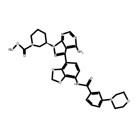 CC(C)(C)OC(=O)N1CCC[C@@H](n2nc(-c3ccc(NC(=O)c4cccc(N5CCOCC5)c4)c4c3OCO4)c3c(N)ncnc32)C1